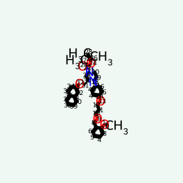 COc1ccccc1COCCCOc1ccc(N2CCN(C(=O)OC(C)(C)C)C[C@@H]2COc2ccc3ccccc3c2)cc1